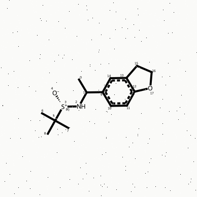 CC(N[S@@+]([O-])C(C)(C)C)c1ccc2c(c1)CCO2